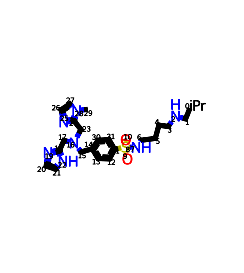 CC(C)CNCCCCNS(=O)(=O)c1ccc(CN(Cc2ncc[nH]2)Cc2nccn2C)cc1